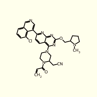 C=CC(=O)N1CCN(c2nc(OCC3CCCN3C)nc3nc(-c4cncc5cccc(Cl)c45)ccc23)CC1CC#N